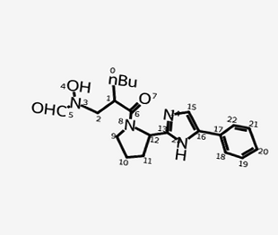 CCCCC(CN(O)C=O)C(=O)N1CCCC1c1ncc(-c2ccccc2)[nH]1